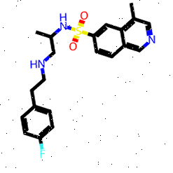 Cc1cncc2ccc(S(=O)(=O)NC(C)CNCCc3ccc(F)cc3)cc12